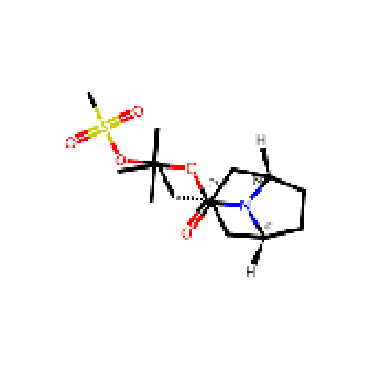 CC(C)(C)OC(=O)N1[C@@H]2CC[C@H]1C[C@@H](CCOS(C)(=O)=O)C2